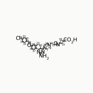 Nc1nc2c(c(N3CCN(CCON=C4CC(C(=O)O)C4)CC3)n1)CCc1cc(OCc3ccc(Cl)cc3)ccc1-2